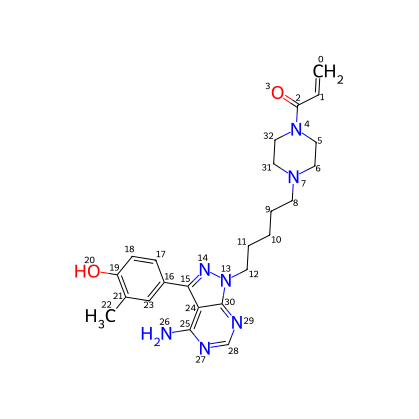 C=CC(=O)N1CCN(CCCCCn2nc(-c3ccc(O)c(C)c3)c3c(N)ncnc32)CC1